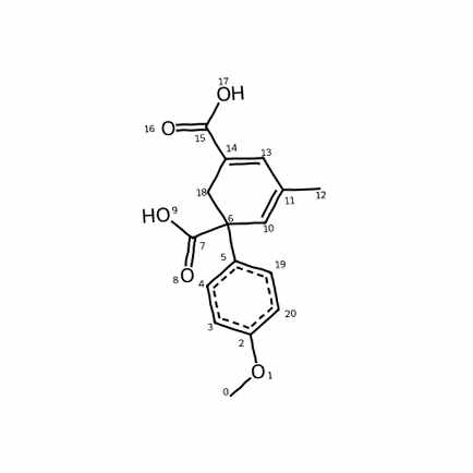 COc1ccc(C2(C(=O)O)C=C(C)C=C(C(=O)O)C2)cc1